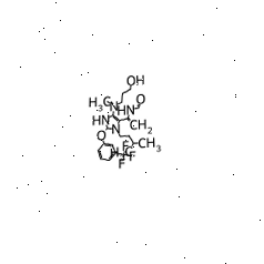 C=C(NC=O)C1=C(N(C)CCCO)NC(Oc2cccc(C(F)(F)F)c2)N1CCC(C)C